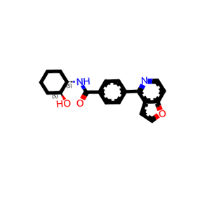 O=C(N[C@H]1CCCC[C@@H]1O)c1ccc(-c2nccc3occc23)cc1